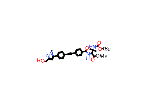 COC(=O)C(NC(=O)c1ccc(C#Cc2ccc(-c3cc(CO)nn3C)cc2)cc1)C(C)(C)NC(=O)OC(C)(C)C